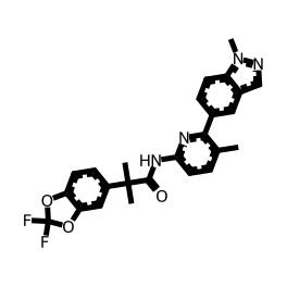 Cc1ccc(NC(=O)C(C)(C)c2ccc3c(c2)OC(F)(F)O3)nc1-c1ccc2c(cnn2C)c1